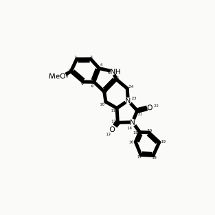 COc1ccc2[nH]c3c(c2c1)CC1C(=O)N(c2ccccc2)C(=O)N1C3